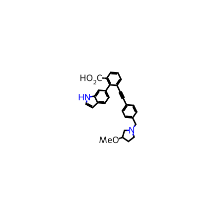 COC1CCN(Cc2ccc(C#Cc3cccc(C(=O)O)c3-c3ccc4cc[nH]c4c3)cc2)C1